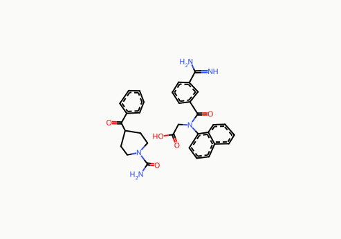 N=C(N)c1cccc(C(=O)N(CC(=O)O)c2cccc3ccccc23)c1.NC(=O)N1CCC(C(=O)c2ccccc2)CC1